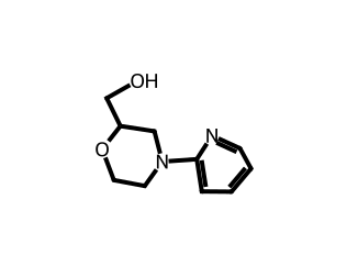 OCC1CN(c2ccccn2)CCO1